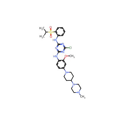 COc1cc(N2CCC(N3CCN(C)CC3)CC2)ccc1Nc1nc(Cl)nc(Nc2ccccc2S(=O)(=O)C(C)C)n1